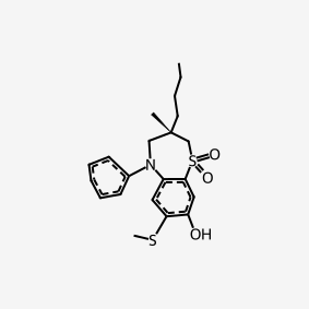 CCCC[C@@]1(C)CN(c2ccccc2)c2cc(SC)c(O)cc2S(=O)(=O)C1